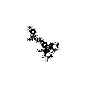 CC(=O)Oc1c2cc(-c3cc4cc(S(=O)(=O)NCP(=O)(O)Oc5ccc(C#N)c(F)c5)sc4cc3-c3cc4c(OC(C)=O)c(c3OC(C)=O)C(=O)NCC(C)O4)c(OC(C)=O)c1C(=O)NCC(C)O2